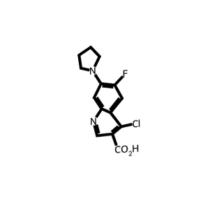 O=C(O)c1cnc2cc(N3CCCC3)c(F)cc2c1Cl